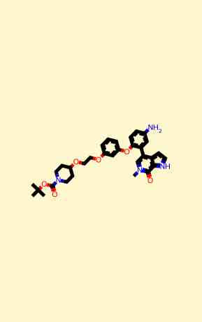 Cn1cc(-c2cc(N)ccc2Oc2cccc(OCCOC3CCN(C(=O)OC(C)(C)C)CC3)c2)c2cc[nH]c2c1=O